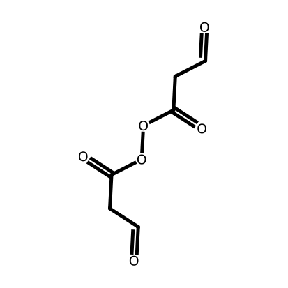 O=CCC(=O)OOC(=O)CC=O